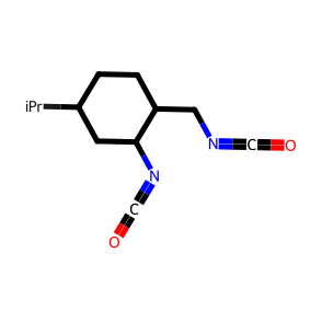 CC(C)C1CCC(CN=C=O)C(N=C=O)C1